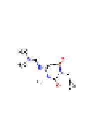 CN(C)C=Nc1cc(=O)n(CC2CC2)c(=O)n1C